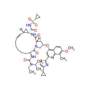 CCN(C(=O)N[C@H]1CCCCCC=C[C@@H]2C[C@@]2(C(=O)NS(=O)(=O)C2CC2)NC(=O)[C@@H]2C[C@@H](Oc3cc(-c4nc(C5CC5)cs4)nc4c(C)c(OC)ccc34)CN2C1=O)C(C)C